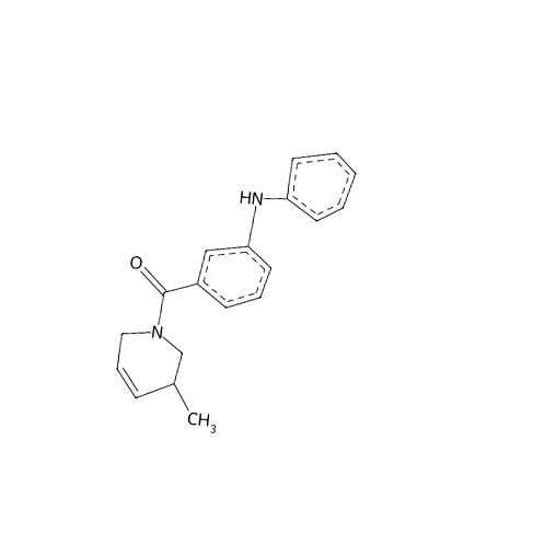 CC1C=CCN(C(=O)c2cccc(Nc3ccccc3)c2)C1